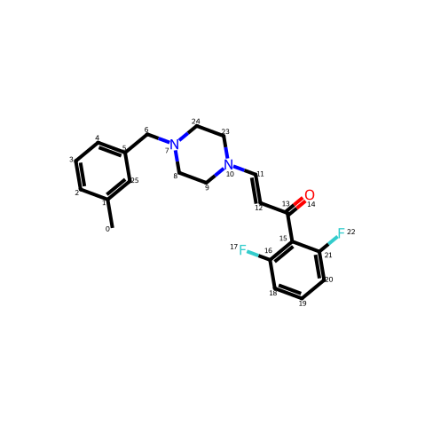 Cc1cccc(CN2CCN(C=CC(=O)c3c(F)cccc3F)CC2)c1